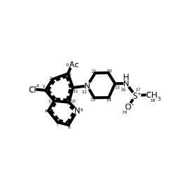 CC(=O)c1cc(Cl)c2cccnc2c1N1CCC(N[S+](C)[O-])CC1